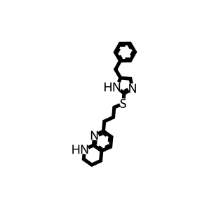 c1ccc(CC2CN=C(SCCCc3ccc4c(n3)NCCC4)N2)cc1